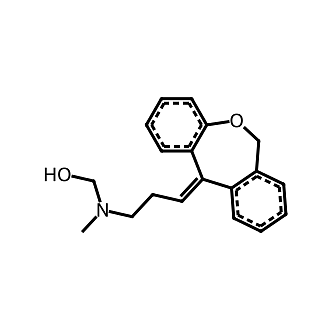 CN(CO)CCC=C1c2ccccc2COc2ccccc21